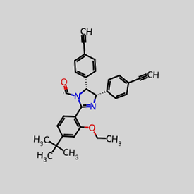 C#Cc1ccc([C@@H]2[C@H](c3ccc(C#C)cc3)N=C(c3ccc(C(C)(C)C)cc3OCC)N2[C]=O)cc1